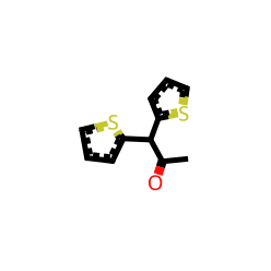 CC(=O)C(c1cccs1)c1cccs1